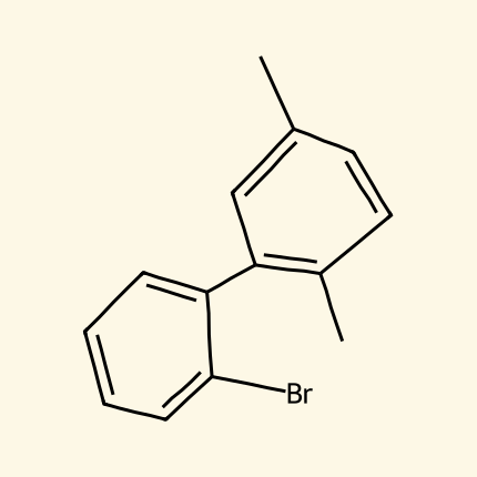 Cc1ccc(C)c(-c2ccccc2Br)c1